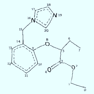 CCOC(=O)C(CC)Oc1ccccc1Cn1ccnc1